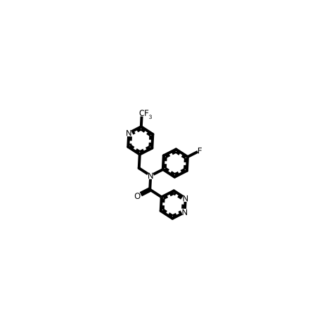 O=C(c1ccnnc1)N(Cc1ccc(C(F)(F)F)nc1)c1ccc(F)cc1